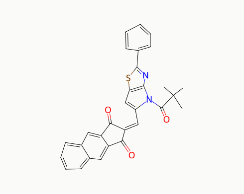 CC(C)(C)C(=O)n1c(C=C2C(=O)c3cc4ccccc4cc3C2=O)cc2sc(-c3ccccc3)nc21